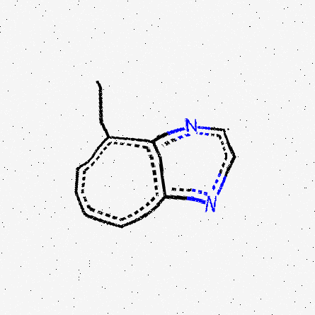 Cc1cccc2nc[c]nc12